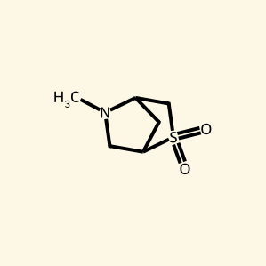 CN1CC2CC1CS2(=O)=O